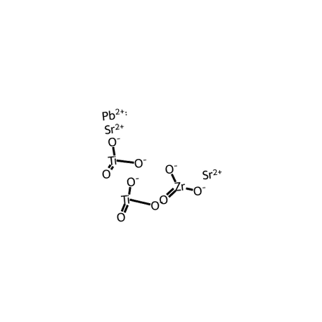 [O]=[Ti]([O-])[O-].[O]=[Ti]([O-])[O-].[O]=[Zr]([O-])[O-].[Pb+2].[Sr+2].[Sr+2]